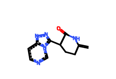 C=C1CCC(c2nnc3ccncn23)C(=O)N1